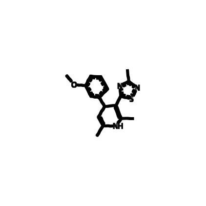 COc1cccc(C2C=C(C)NC(C)=C2c2nc(C)ns2)c1